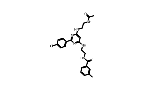 CC(=O)NCCNc1cc(NCCNC(=O)c2cccc(C)c2)nc(-c2ccc(Cl)cc2)n1